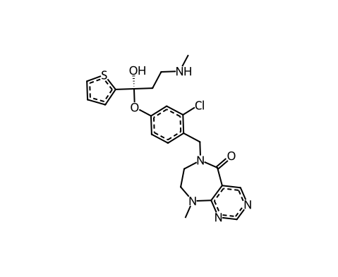 CNCC[C@@](O)(Oc1ccc(CN2CCN(C)c3ncncc3C2=O)c(Cl)c1)c1cccs1